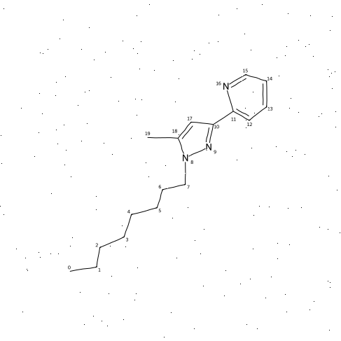 CCCCCCCCn1nc(-c2ccccn2)cc1C